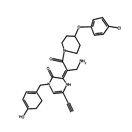 C#CC1=CN(CC2=CC=C(O)CC2)C(=O)/C(=C(/CN)C(=O)N2CCC(Oc3ccc(Cl)cc3)CC2)N1